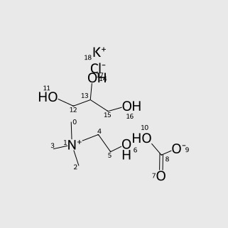 C[N+](C)(C)CCO.O=C([O-])O.OCC(O)CO.[Cl-].[K+]